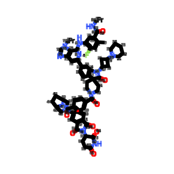 Cc1cc(F)c(Nc2nc(-c3ccc4c(c3)N(C3CC(N5CCCCC5)C3)C(=O)C43CCN(C(=O)c4ccc(C(=O)N5C6CCC5CN(c5ccc7c(c5)C(=O)N(C5CCC(=O)NC5=O)C7=O)C6)cc4)CC3)cc3ncn(C(C)C)c23)cc1C(=O)NC(C)C